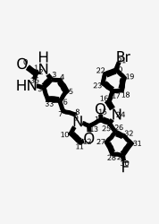 O=c1[nH]c2ccc(CCN3C=COC3c3oc(-c4ccc(Br)cc4)nc3-c3ccc(F)cc3)cc2[nH]1